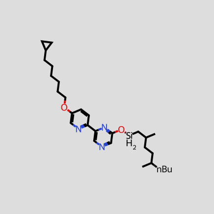 CCCCC(C)CCC(C)C[SiH2]Oc1cncc(-c2ccc(OCCCCCCC3CC3)cn2)n1